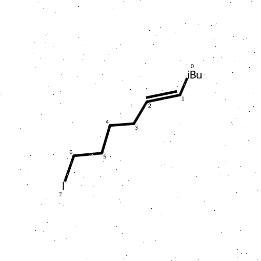 CCC(C)C=CCCCCI